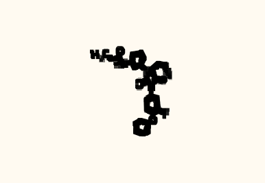 C=CC(=O)Nc1cccc(-n2c(=O)n(-c3ccc(Oc4ccccc4)c(F)c3)c3cnccc32)c1